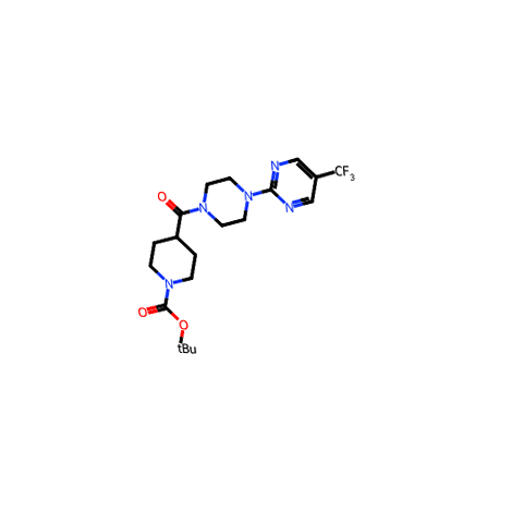 CC(C)(C)OC(=O)N1CCC(C(=O)N2CCN(c3ncc(C(F)(F)F)cn3)CC2)CC1